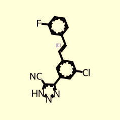 N#Cc1[nH]nnc1-c1cc(Cl)cc(/C=C/c2cccc(F)c2)c1